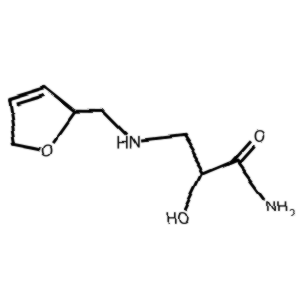 NC(=O)C(O)CNCC1C=CCO1